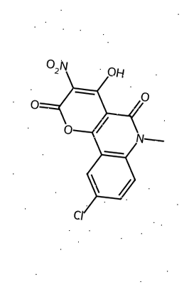 Cn1c(=O)c2c(O)c([N+](=O)[O-])c(=O)oc2c2cc(Cl)ccc21